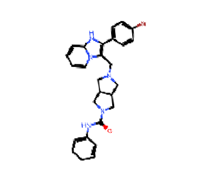 O=C(NC1=CCCC=C1)N1CC2CN(CC3=C(c4ccc(Br)cc4)NC4C=CC=CN34)CC2C1